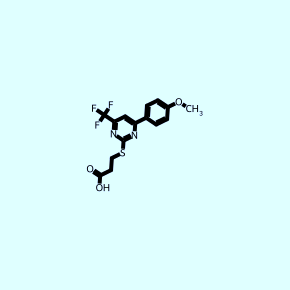 COc1ccc(-c2cc(C(F)(F)F)nc(SCCC(=O)O)n2)cc1